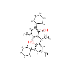 CCc1cc(C2CCCCC2)c(O)c(C(C)c2cc(CC)cc(C3CCCCC3)c2O)c1